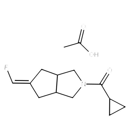 CC(=O)O.O=C(C1CC1)N1CC2CC(=CF)CC2C1